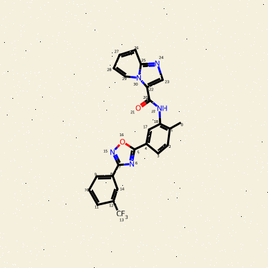 Cc1ccc(-c2nc(-c3cccc(C(F)(F)F)c3)no2)cc1NC(=O)c1cnc2ccccn12